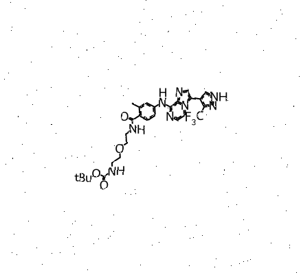 Cc1cc(Nc2nccn3c(-c4c[nH]nc4C(F)(F)F)cnc23)ccc1C(=O)NCCOCCNC(=O)OC(C)(C)C